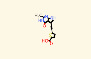 Cc1nc2[nH]cc(C#Cc3ccc(C(=O)O)s3)c2c(=O)[nH]1